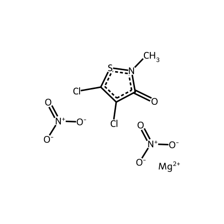 Cn1sc(Cl)c(Cl)c1=O.O=[N+]([O-])[O-].O=[N+]([O-])[O-].[Mg+2]